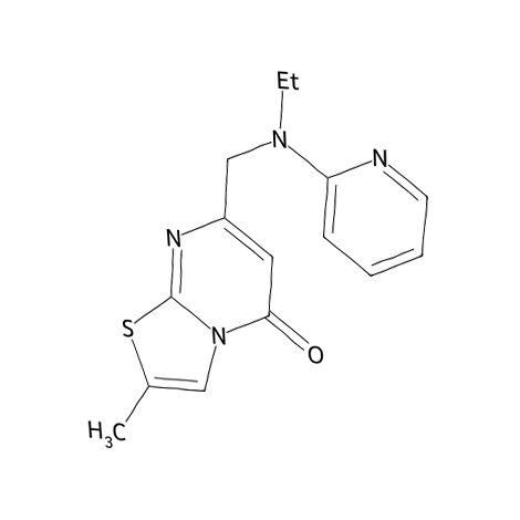 CCN(Cc1cc(=O)n2cc(C)sc2n1)c1ccccn1